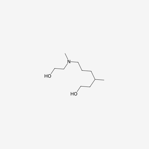 CC(CCO)CCCN(C)CCO